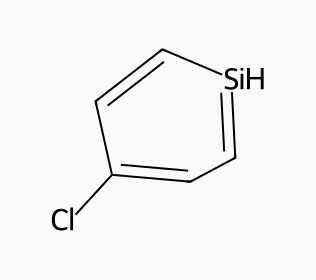 Clc1cc[siH]cc1